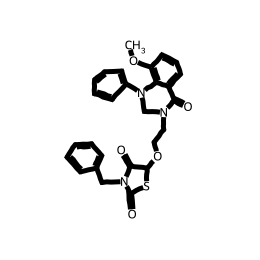 COc1cccc2c1N(c1ccccc1)CN(CCOC1SC(=O)N(Cc3ccccc3)C1=O)C2=O